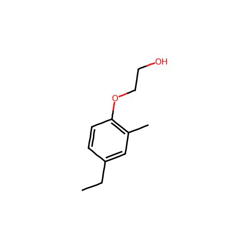 CCc1ccc(OCCO)c(C)c1